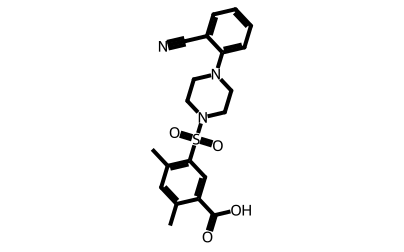 Cc1cc(C)c(S(=O)(=O)N2CCN(c3ccccc3C#N)CC2)cc1C(=O)O